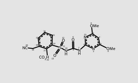 COc1cc(OC)nc(NC(=O)NS(=O)(=O)c2cccc(CC#N)c2C(=O)O)n1